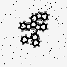 c1ccc(-c2nc(-n3c4ccccc4c4c5c(ccc6sc7ccccc7c65)c5c6ccccc6oc5c43)nc3ccccc23)cc1